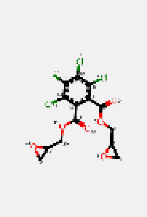 O=C(OCC1CO1)c1c(Cl)c(Cl)c(Cl)c(Cl)c1C(=O)OCC1CO1